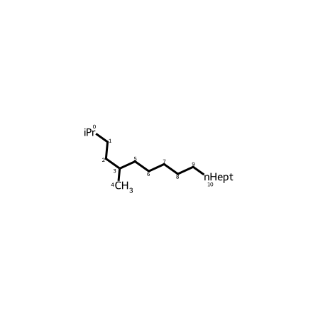 [CH2]C(C)CCC(C)CCCCCCCCCCCC